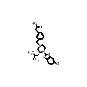 CC(C)C[C@@H]1CN(Cc2cccc(CC(=O)O)c2)CCN1c1nc2ccc(Cl)cc2s1